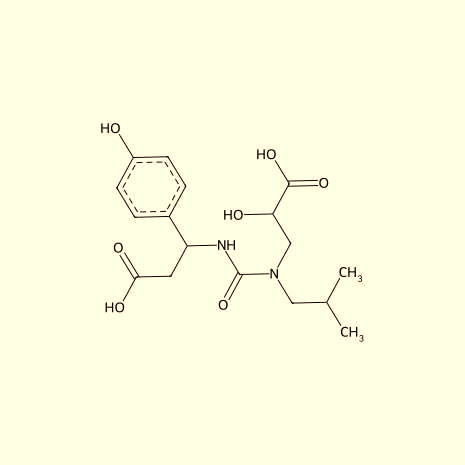 CC(C)CN(CC(O)C(=O)O)C(=O)NC(CC(=O)O)c1ccc(O)cc1